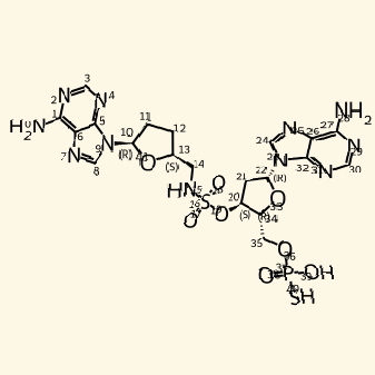 Nc1ncnc2c1ncn2[C@H]1CC[C@@H](CNS(=O)(=O)O[C@H]2C[C@H](n3cnc4c(N)ncnc43)O[C@@H]2COP(=O)(O)S)O1